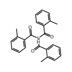 Cc1ccccc1C(=O)[SiH](C(=O)c1ccccc1C)C(=O)c1ccccc1C